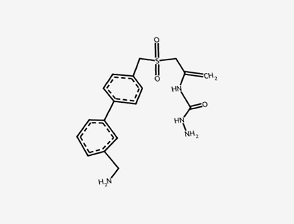 C=C(CS(=O)(=O)Cc1ccc(-c2cccc(CN)c2)cc1)NC(=O)NN